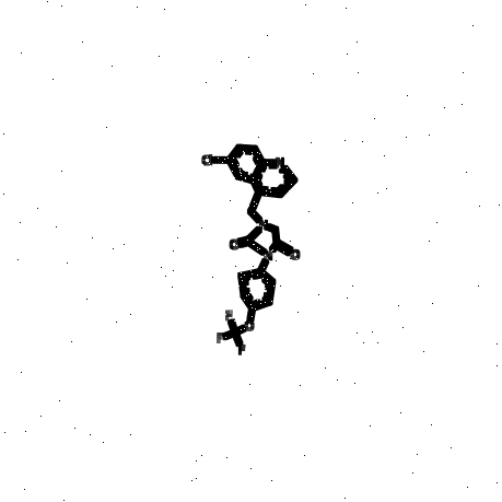 O=C1CN(Cc2ccnc3ccc(Cl)cc23)C(=O)N1c1ccc(OC(F)(F)F)cc1